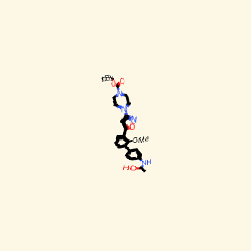 COc1c(-c2ccc(NC(C)O)cc2)cccc1-c1cc(N2CCN(C(=O)OC(C)(C)C)CC2)no1